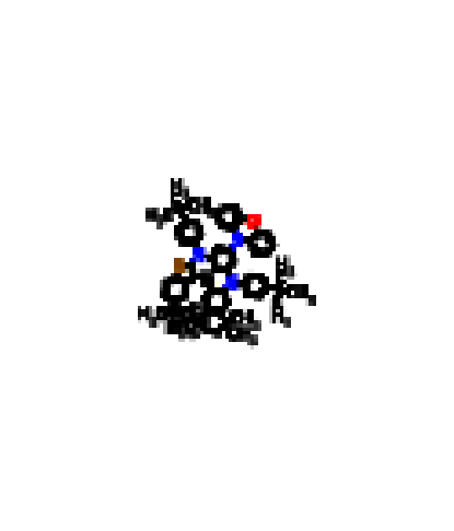 CC(C)(C)c1ccc(N2c3cc4c(cc3B3c5c2cc(N2c6ccccc6Oc6ccccc62)cc5N(c2ccc(C(C)(C)C)cc2)c2sc5ccc(C(C)(C)C)cc5c23)C(C)(C)CCC4(C)C)cc1